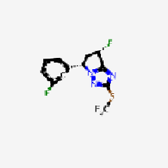 Fc1cccc([C@@H]2C[C@H](F)c3nc(SC(F)(F)F)nn32)c1